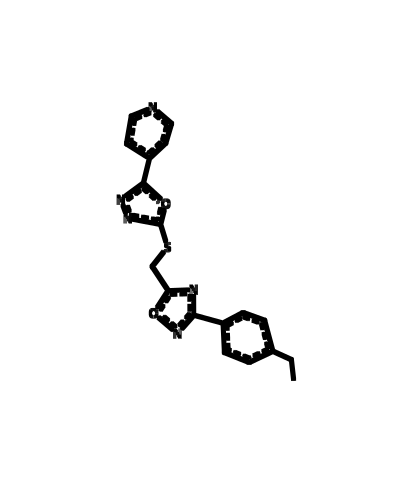 CCc1ccc(-c2noc(CSc3nnc(-c4ccncc4)o3)n2)cc1